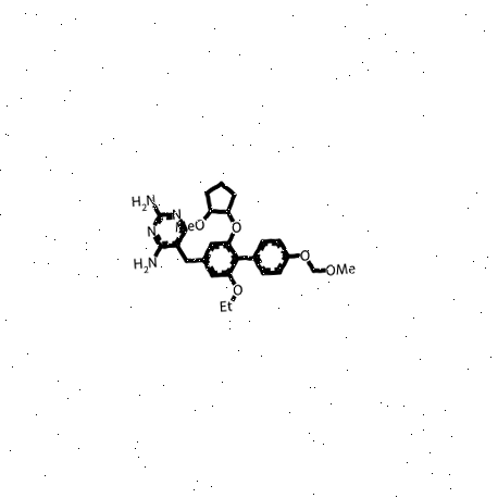 CCOc1cc(Cc2cnc(N)nc2N)cc(OC2CCCC2OC)c1-c1ccc(OCOC)cc1